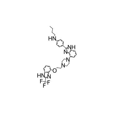 CCCCNc1ccc(-c2nc3c(N4CCN(CCOc5cccc6[nH]c(C(F)(F)F)nc56)CC4)cccc3[nH]2)cc1